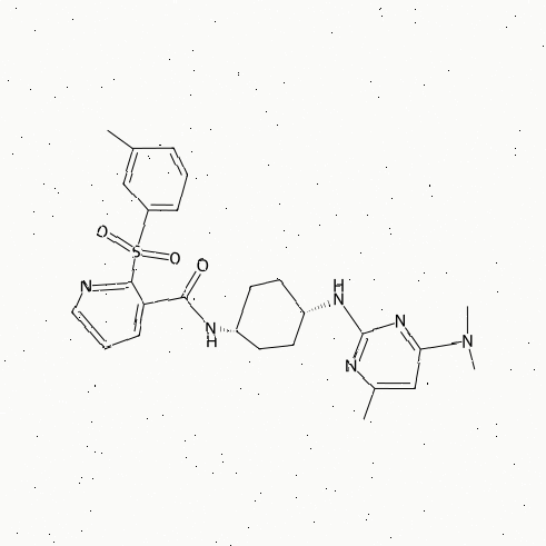 Cc1cccc(S(=O)(=O)c2ncccc2C(=O)N[C@H]2CC[C@@H](Nc3nc(C)cc(N(C)C)n3)CC2)c1